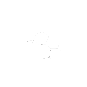 CC(C)C(C(C)C)C1C[C@@H](C)O[C@H](C)C1